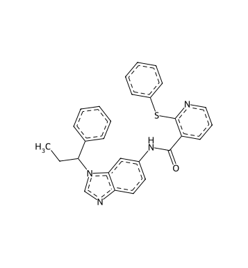 CCC(c1ccccc1)n1cnc2ccc(NC(=O)c3cccnc3Sc3ccccc3)cc21